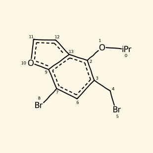 CC(C)Oc1c(CBr)cc(Br)c2occc12